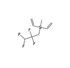 C=C[Si](C)(C=C)CC(F)(F)C(F)F